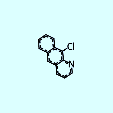 Clc1c2ccccc2cc2cccnc12